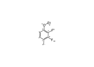 [CH2]c1ccc(OCC)c(F)c1F